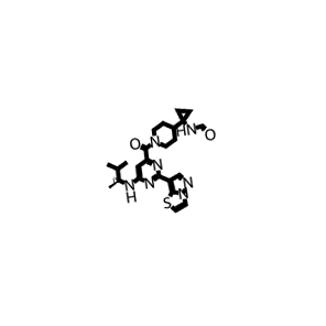 CC(C)[C@H](C)Nc1cc(C(=O)N2CCC(C3(NC=O)CC3)CC2)nc(-c2cnn3ccsc23)n1